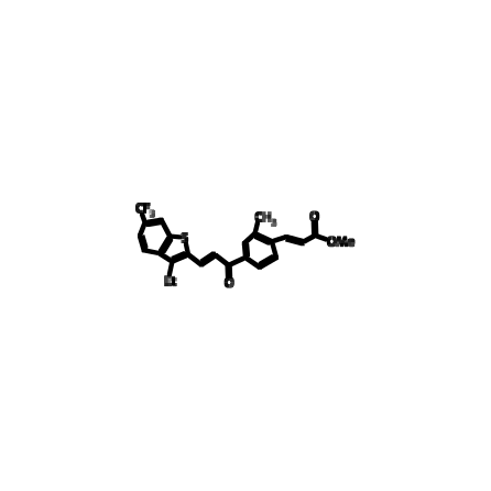 CCc1c(C=CC(=O)c2ccc(C=CC(=O)OC)c(C)c2)sc2cc(C(F)(F)F)ccc12